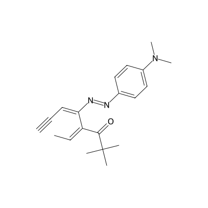 C#C/C=C(/N=N/c1ccc(N(C)C)cc1)C(=C/C)\C(=O)C(C)(C)C